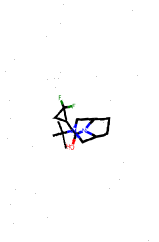 CC(C)(C)N1CC2CCC(C1)N2C(O)C1CC1(F)F